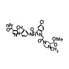 CCCC(=O)c1cnn(-c2ccc(NC(=O)c3cn(CC(=O)N4CCN(C)C(C(=O)OC)C4)c4ccc(Cl)cc34)cc2)c1C